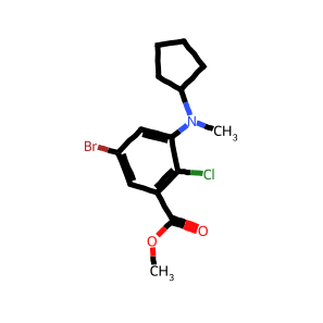 COC(=O)c1cc(Br)cc(N(C)C2CCCC2)c1Cl